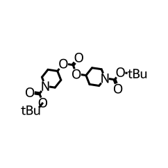 CC(C)(C)OC(=O)N1CCC(OC(=O)OC2CCN(C(=O)OC(C)(C)C)CC2)CC1